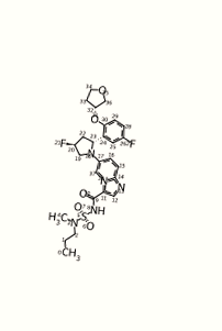 CCCN(C)S(=O)(=O)NC(=O)c1cnc2ccc(N3C[C@@H](F)C[C@@H]3c3cc(F)ccc3O[C@@H]3CCOC3)cn12